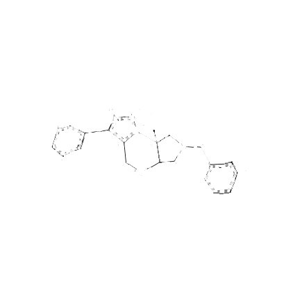 c1ccc(CN2CC3OCc4c(-c5ccccc5)nnn4[C@@H]3C2)cc1